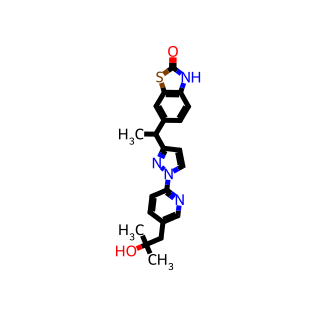 CC(c1ccc2[nH]c(=O)sc2c1)c1ccn(-c2ccc(CC(C)(C)O)cn2)n1